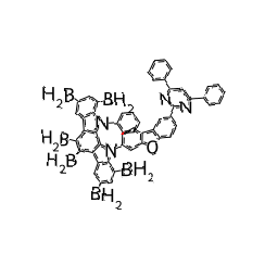 Bc1cc(B)c2c(c1)c1c(B)c(B)c3c4cc(B)cc(B)c4n(-c4ccc5c(c4)oc4ccc(-c6nc(-c7ccccc7)cc(-c7ccccc7)n6)cc45)c3c1n2-c1ccccc1